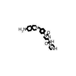 NC1CCC2(CC1)CCN(Cc1ccc(-n3ccc(NC(=O)N4CCNCC4)nc3=O)cc1)CC2